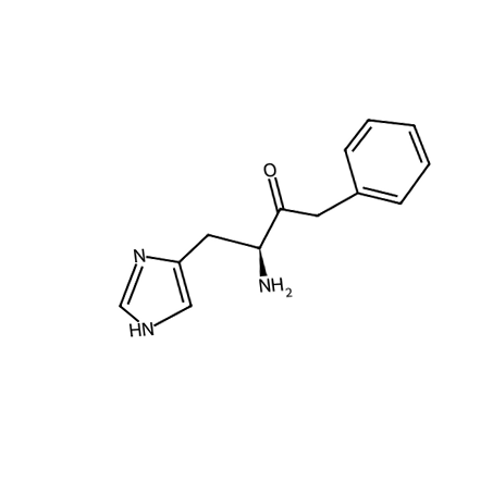 N[C@@H](Cc1c[nH]cn1)C(=O)Cc1ccccc1